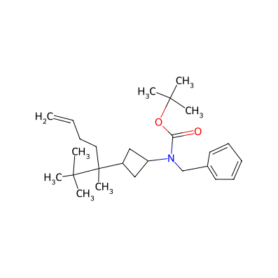 C=CCCC(C)(C1CC(N(Cc2ccccc2)C(=O)OC(C)(C)C)C1)C(C)(C)C